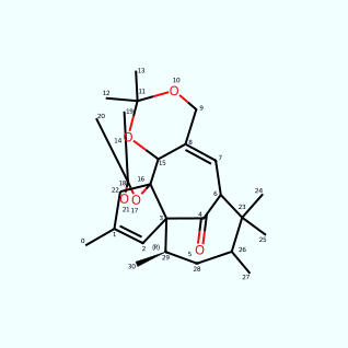 CC1=CC23C(=O)C(C=C4COC(C)(C)OC4C24OC(C)(C)OC14)C(C)(C)C(C)C[C@H]3C